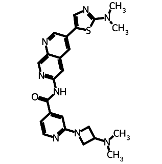 CN(C)c1ncc(-c2cnc3cnc(NC(=O)c4ccnc(N5CC(N(C)C)C5)c4)cc3c2)s1